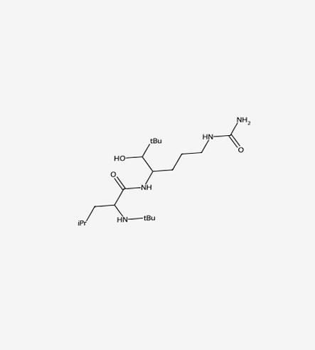 CC(C)CC(NC(C)(C)C)C(=O)NC(CCCNC(N)=O)C(O)C(C)(C)C